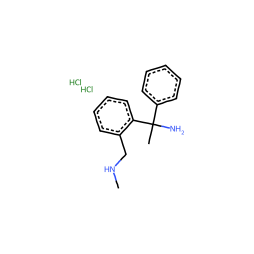 CNCc1ccccc1C(C)(N)c1ccccc1.Cl.Cl